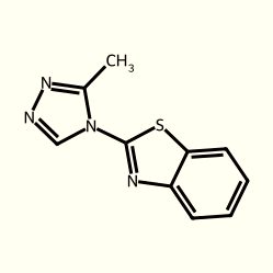 Cc1nncn1-c1nc2ccccc2s1